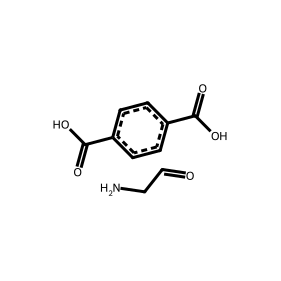 NCC=O.O=C(O)c1ccc(C(=O)O)cc1